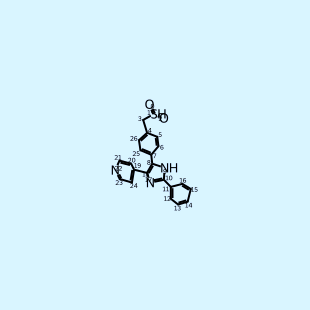 O=[SH](=O)Cc1ccc(-c2[nH]c(-c3ccccc3)nc2-c2ccncc2)cc1